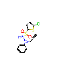 C#CCN(NS(=O)(=O)c1ccc(Cl)s1)c1ccccc1